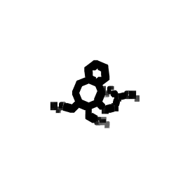 C=C/C1=C(C=C)/C(/N=N\N(C)C)=C\c2ccccc2CC1